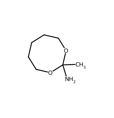 CC1(N)OCCCCCO1